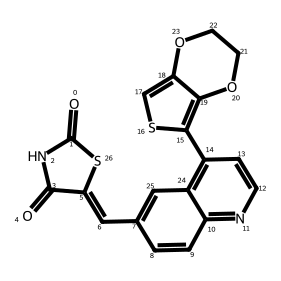 O=C1NC(=O)C(=Cc2ccc3nccc(-c4scc5c4OCCO5)c3c2)S1